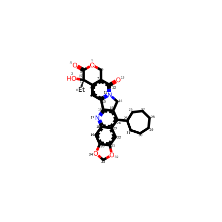 CC[C@@]1(O)C(=O)OCc2c1cc1n(c2=O)Cc2c-1nc1cc3c(cc1c2C1CCCCCC1)OCO3